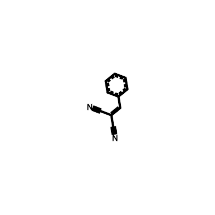 N#CC(C#N)=Cc1ccccc1